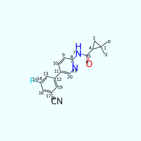 CC1(C)CC1C(=O)Nc1ccc(-c2cc(F)cc(C#N)c2)cn1